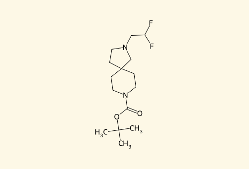 CC(C)(C)OC(=O)N1CCC2(CCN(CC(F)F)C2)CC1